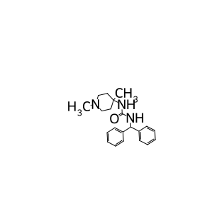 CN1CCC(C)(NC(=O)NC(c2ccccc2)c2ccccc2)CC1